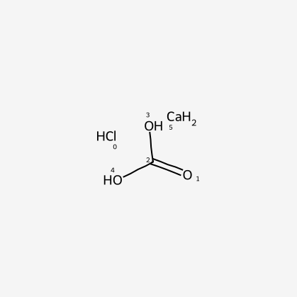 Cl.O=C(O)O.[CaH2]